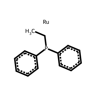 CCP(c1ccccc1)c1ccccc1.[Ru]